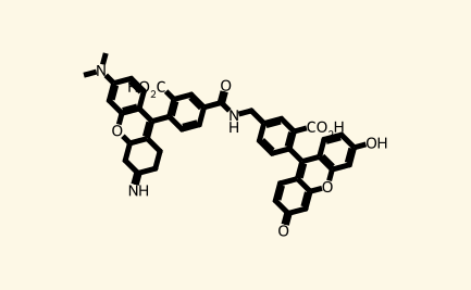 CN(C)c1ccc2c(c1)OC1CC(=N)CCC1=C2c1ccc(C(=O)NCc2ccc(-c3c4ccc(=O)cc-4oc4cc(O)ccc34)c(C(=O)O)c2)cc1C(=O)O